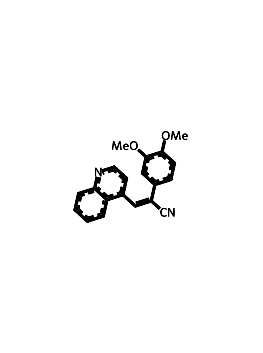 COc1ccc(C(C#N)=Cc2ccnc3ccccc23)cc1OC